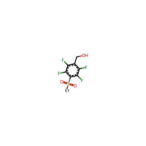 CCS(=O)(=O)c1c(F)c(F)c(CO)c(F)c1F